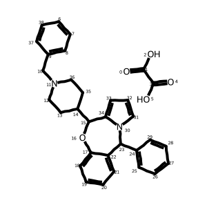 O=C(O)C(=O)O.c1ccc(CN2CCC(C3Oc4ccccc4C(c4ccccc4)n4cccc43)CC2)cc1